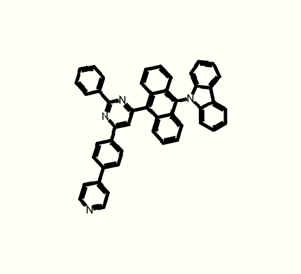 c1ccc(-c2nc(-c3ccc(-c4ccncc4)cc3)cc(-c3c4ccccc4c(-n4c5ccccc5c5ccccc54)c4ccccc34)n2)cc1